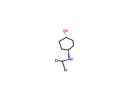 CCC(CC)N[C@H]1CC[C@H](O)CC1